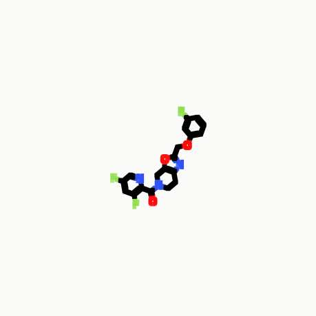 O=C(c1ncc(F)cc1F)N1CCc2nc(COc3cccc(F)c3)oc2C1